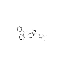 OC[C@H]1O[C@@H](n2cnc3c(NC4c5ccccc5-c5ccccc54)ncnc32)C(O)[C@H]1O